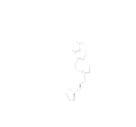 Nc1nc2c(s1)CCN(CC=Cc1ccco1)CC2